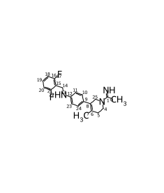 CC(=N)N1CCC(C)=C(c2ccc(NCc3c(F)cccc3F)cc2)C1